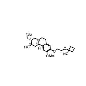 COc1cc2c(cc1OCCOC1(C#N)CCC1)CCN1C[C@@H](CC(C)(C)C)[C@H](O)C[C@H]21